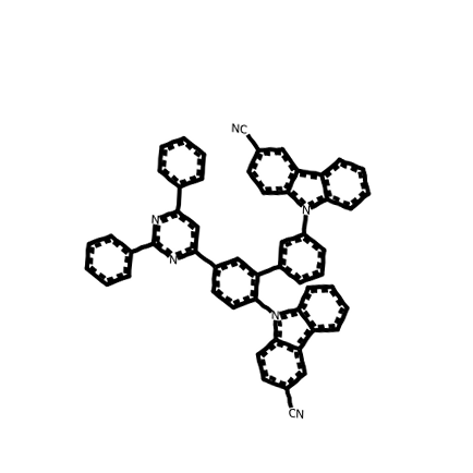 N#Cc1ccc2c(c1)c1ccccc1n2-c1cccc(-c2cc(-c3cc(-c4ccccc4)nc(-c4ccccc4)n3)ccc2-n2c3ccccc3c3cc(C#N)ccc32)c1